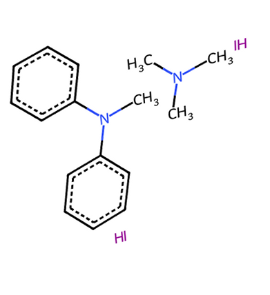 CN(C)C.CN(c1ccccc1)c1ccccc1.I.I